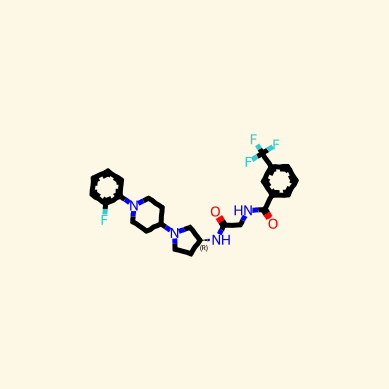 O=C(CNC(=O)c1cccc(C(F)(F)F)c1)N[C@@H]1CCN(C2CCN(c3ccccc3F)CC2)C1